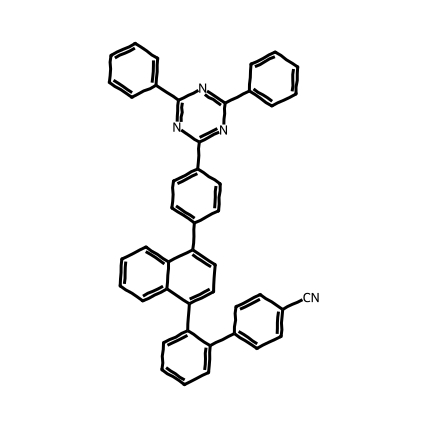 N#Cc1ccc(-c2ccccc2-c2ccc(-c3ccc(-c4nc(-c5ccccc5)nc(-c5ccccc5)n4)cc3)c3ccccc23)cc1